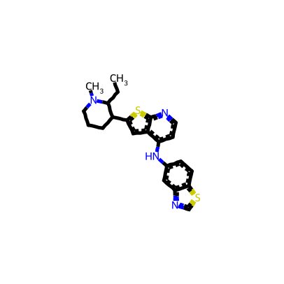 CCC1C(c2cc3c(Nc4ccc5scnc5c4)ccnc3s2)CCCN1C